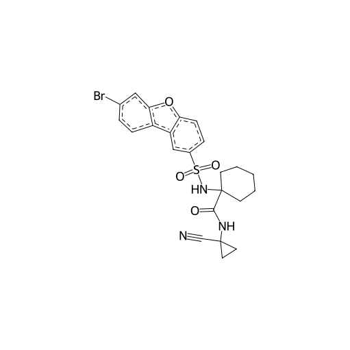 N#CC1(NC(=O)C2(NS(=O)(=O)c3ccc4oc5cc(Br)ccc5c4c3)CCCCC2)CC1